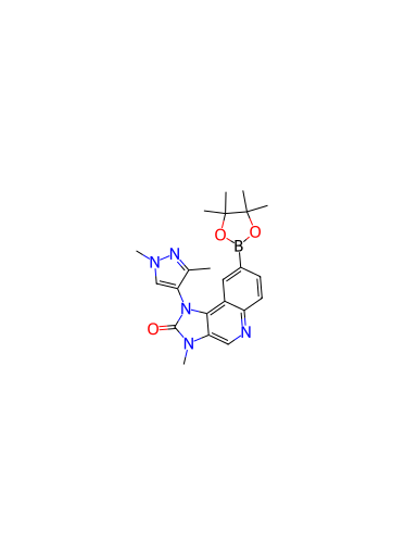 Cc1nn(C)cc1-n1c(=O)n(C)c2cnc3ccc(B4OC(C)(C)C(C)(C)O4)cc3c21